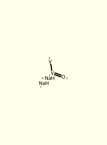 [NaH].[NaH].[O]=[V][V]